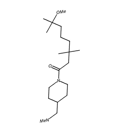 CNCC1CCN(C(=O)CC(C)(C)CCCC(C)(C)OC)CC1